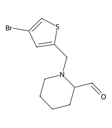 O=CC1CCCCN1Cc1cc(Br)cs1